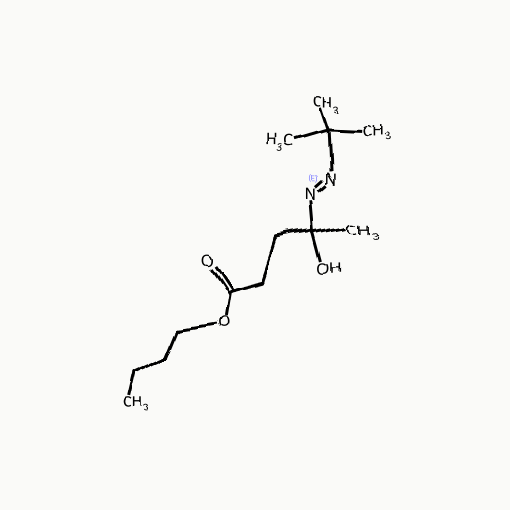 CCCCOC(=O)CCC(C)(O)/N=N/C(C)(C)C